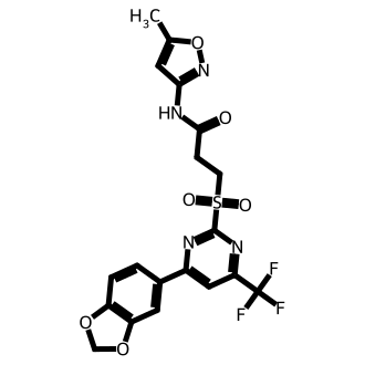 Cc1cc(NC(=O)CCS(=O)(=O)c2nc(-c3ccc4c(c3)OCO4)cc(C(F)(F)F)n2)no1